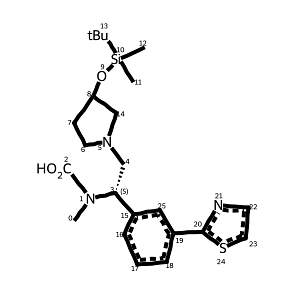 CN(C(=O)O)[C@H](CN1CCC(O[Si](C)(C)C(C)(C)C)C1)c1cccc(-c2nccs2)c1